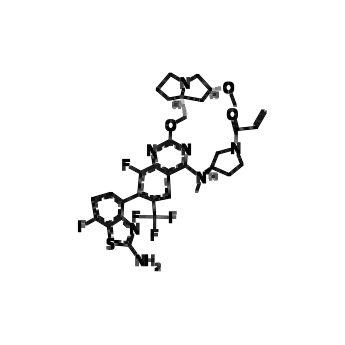 C=CC(=O)N1CC[C@@H](N(C)c2nc(OC[C@]34CCCN3C[C@H](OC)C4)nc3c(F)c(-c4ccc(F)c5sc(N)nc45)c(C(F)(F)F)cc23)C1